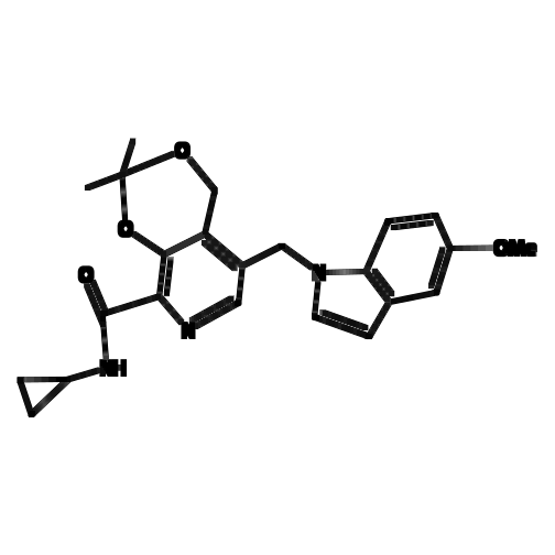 COc1ccc2c(ccn2Cc2cnc(C(=O)NC3CC3)c3c2COC(C)(C)O3)c1